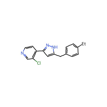 CCc1ccc(Cc2cc(-c3ccncc3Cl)n[nH]2)cc1